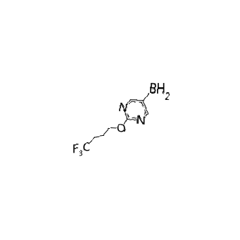 Bc1cnc(OCCCC(F)(F)F)nc1